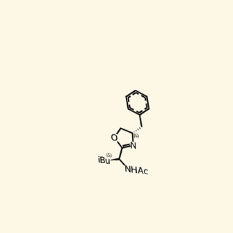 CC[C@H](C)C(NC(C)=O)C1=N[C@@H](Cc2ccccc2)CO1